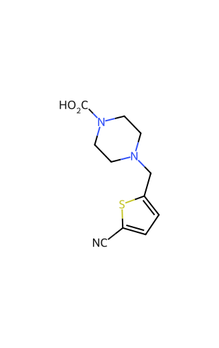 N#Cc1ccc(CN2CCN(C(=O)O)CC2)s1